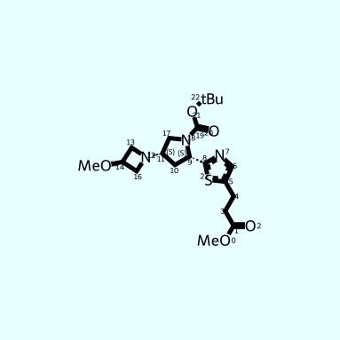 COC(=O)CCc1cnc([C@@H]2C[C@H](N3CC(OC)C3)CN2C(=O)OC(C)(C)C)s1